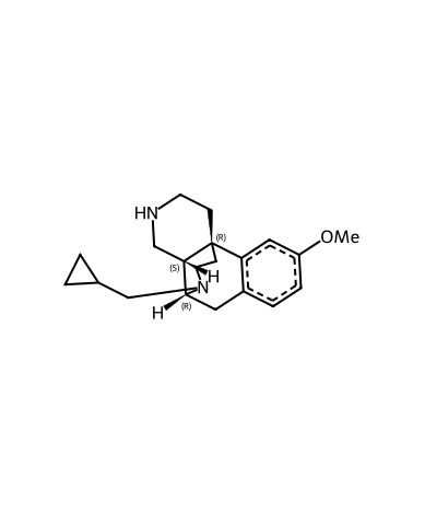 COc1ccc2c(c1)[C@@]13CCNC[C@H]1[C@@H](C2)N(CC1CC1)CC3